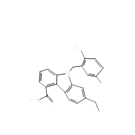 CCc1c[c]c2c3c(C(N)=O)cccc3n(Cc3cc(F)ccc3Br)c2c1